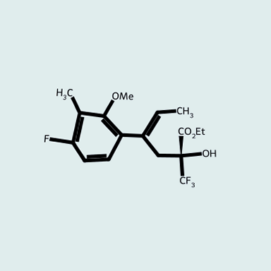 CC=C(C[C@@](O)(C(=O)OCC)C(F)(F)F)c1ccc(F)c(C)c1OC